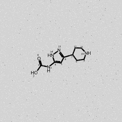 O=C(O)Nc1cc(C2CCNCC2)n[nH]1